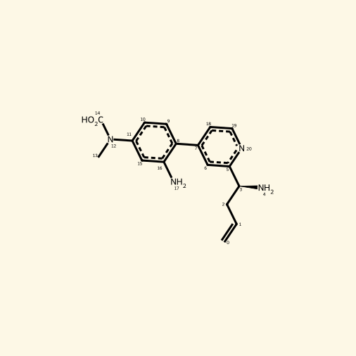 C=CC[C@H](N)c1cc(-c2ccc(N(C)C(=O)O)cc2N)ccn1